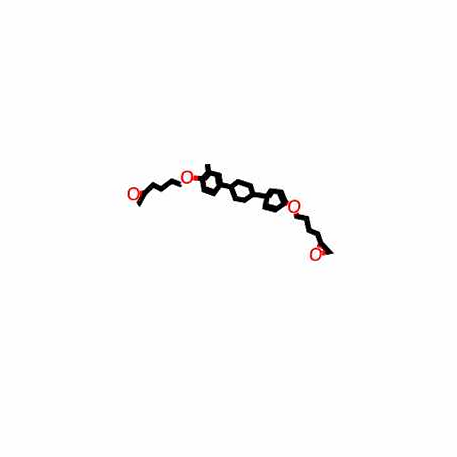 Cc1cc(C2CCC(c3ccc(OCCCCC4CO4)cc3)CC2)ccc1OCCCCC1CO1